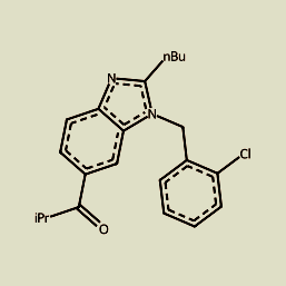 CCCCc1nc2ccc(C(=O)C(C)C)cc2n1Cc1ccccc1Cl